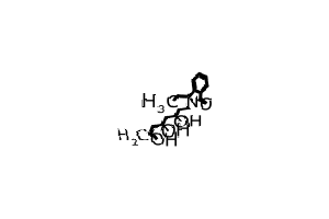 C=C(O)C[C@H](O)C[C@H](O)CCN1C(=O)c2ccccc2/C1=C/C